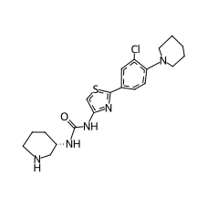 O=C(Nc1csc(-c2ccc(N3CCCCC3)c(Cl)c2)n1)N[C@H]1CCCNC1